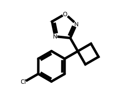 Clc1ccc(C2(c3n[c]on3)CCC2)cc1